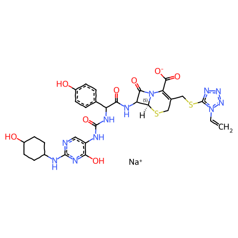 C=Cn1nnnc1SCC1=C(C(=O)[O-])N2C(=O)C(NC(=O)C(NC(=O)Nc3cnc(NC4CCC(O)CC4)nc3O)c3ccc(O)cc3)[C@@H]2SC1.[Na+]